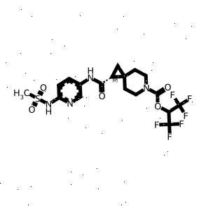 CS(=O)(=O)Nc1ccc(NC(=O)[C@@H]2CC23CCN(C(=O)OC(C(F)(F)F)C(F)(F)F)CC3)cn1